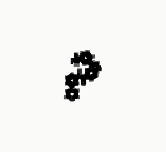 O=C(Nc1cccc(N2CCOCC2)n1)c1ccc2ncc(-c3cccc(C(F)(F)I)c3)n2n1